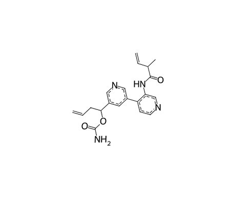 C=CCC(OC(N)=O)c1cncc(-c2ccncc2NC(=O)C(C)C=C)c1